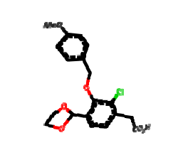 COc1ccc(COc2c(C3OCCO3)ccc(CC(=O)O)c2Cl)cc1